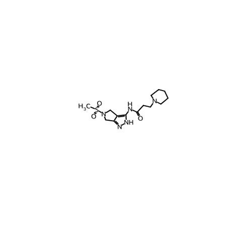 CS(=O)(=O)N1Cc2n[nH]c(NC(=O)CCN3CCCCC3)c2C1